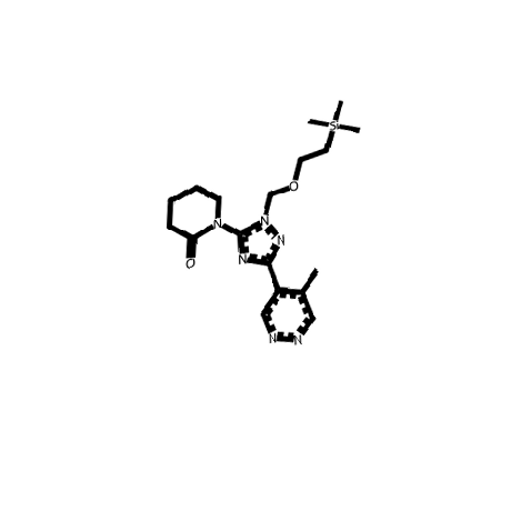 Cc1cnncc1-c1nc(N2CCCCC2=O)n(COCC[Si](C)(C)C)n1